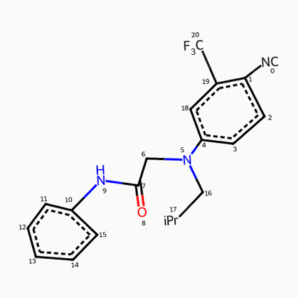 [C-]#[N+]c1ccc(N(CC(=O)Nc2ccccc2)CC(C)C)cc1C(F)(F)F